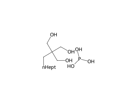 CCCCCCCCC(CO)(CO)CO.OP(O)O